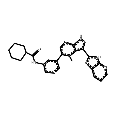 O=C(Nc1cncc(-c2cnc3[nH]nc(-c4nc5cccnc5[nH]4)c3c2F)c1)C1CCCCC1